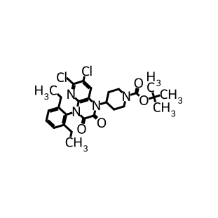 CCc1cccc(CC)c1-n1c(=O)c(=O)n(C2CCN(C(=O)OC(C)(C)C)CC2)c2cc(Cl)c(Cl)nc21